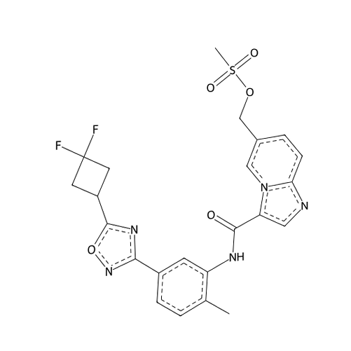 Cc1ccc(-c2noc(C3CC(F)(F)C3)n2)cc1NC(=O)c1cnc2ccc(COS(C)(=O)=O)cn12